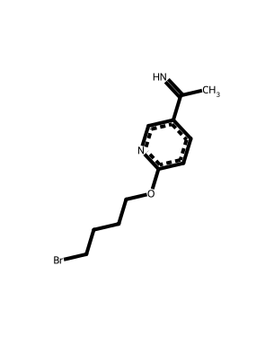 CC(=N)c1ccc(OCCCCBr)nc1